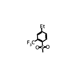 CCc1ccc(S(C)(=O)=O)c(C(F)(F)F)c1